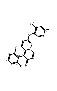 O=c1ccn2nc(Oc3ccc(Cl)cc3Cl)ccc2c1-c1c(F)cccc1F